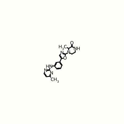 Cc1ccnc(Nc2cccc(-c3cnc(N4CCNC(=O)C4C)o3)c2)n1